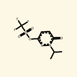 CC(C)n1nc(OS(=O)(=O)C(F)(F)F)ccc1=O